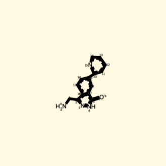 NCc1n[nH]c(=O)c2cc(-c3ccccn3)ccc12